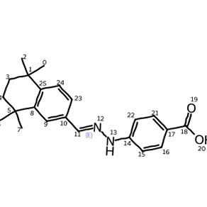 CC1(C)CCC(C)(C)c2cc(/C=N/Nc3ccc(C(=O)O)cc3)ccc21